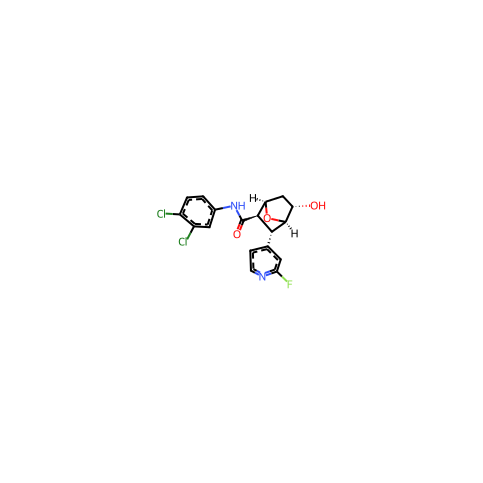 O=C(Nc1ccc(Cl)c(Cl)c1)[C@@H]1[C@@H](c2ccnc(F)c2)[C@H]2O[C@@H]1C[C@@H]2O